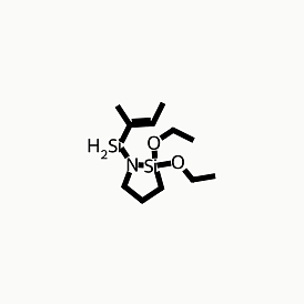 CC=C(C)[SiH2]N1CCC[Si]1(OCC)OCC